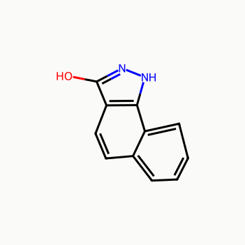 Oc1n[nH]c2c1ccc1ccccc12